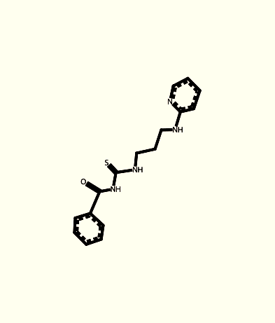 O=C(NC(=S)NCCCNc1ccccn1)c1ccccc1